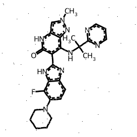 Cn1cc2[nH]c(=O)c(-c3nc4ccc(N5CCCCC5)c(F)c4[nH]3)c(NC(C)(C)c3ncccn3)c2n1